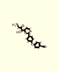 N#Cc1ccc(Oc2ccc(-c3nccc([C@@H](O)C(=O)CN)n3)cc2)cc1